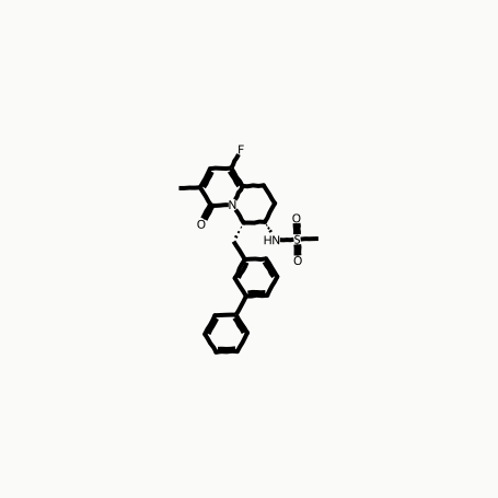 Cc1cc(F)c2n(c1=O)[C@@H](Cc1cccc(-c3ccccc3)c1)[C@@H](NS(C)(=O)=O)CC2